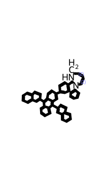 C=C1/C=C\C=C/N(c2ccccc2)C(c2ccc(-c3ccc4c(-c5ccc6ccccc6c5)c5ccccc5c(-c5ccc6ccccc6c5)c4c3)cc2)N1